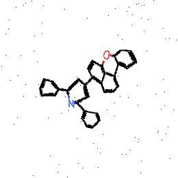 c1ccc(-c2cc(-c3ccc4c5c(cccc35)-c3ccccc3O4)cc(-c3ccccc3)n2)cc1